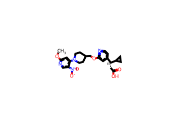 COc1cc(N2CCC(COc3cc([C@@H](CC(=O)O)C4CC4)ccn3)CC2)c([N+](=O)[O-])cn1